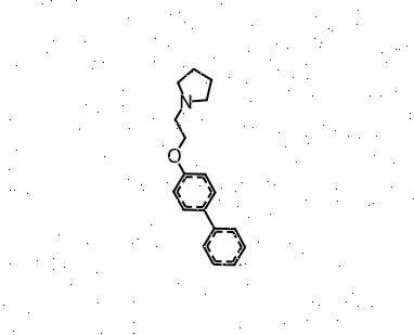 [c]1ccc(-c2ccc(OCCN3CCCC3)cc2)cc1